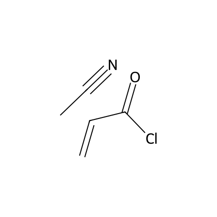 C=CC(=O)Cl.CC#N